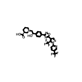 O=C(O)[C@H]1CCCN(C[C@H](O)c2ccc(-c3noc(-c4cnn(-c5ccc(C(F)(F)F)cn5)c4C(F)(F)F)n3)cc2)C1